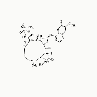 CC[C@@H]1C[C@H](C)CC/C=C\[C@@H]2C[C@@]2(C(=O)NS(=O)(=O)C2(C)CC2)NC(=O)[C@@H]2C[C@@H](Oc3nccc4cc(OC)c(Cl)cc34)CN2C(=O)[C@H]1NC(=O)O